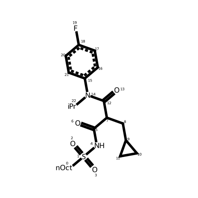 CCCCCCCCS(=O)(=O)NC(=O)C(CC1CC1)C(=O)N(c1ccc(F)cc1)C(C)C